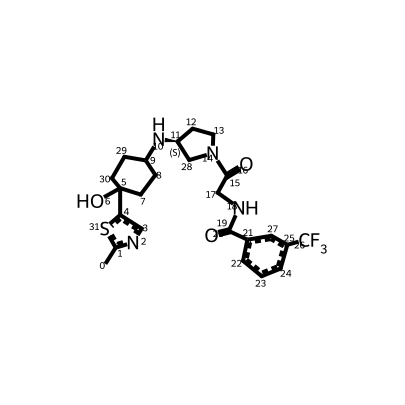 Cc1ncc(C2(O)CCC(N[C@H]3CCN(C(=O)CNC(=O)c4cccc(C(F)(F)F)c4)C3)CC2)s1